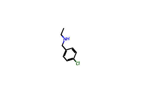 CCNCc1ccc(Cl)cc1